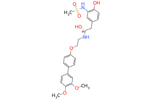 COc1ccc(-c2ccc(OCCN[C@H](O)Cc3ccc(O)c(NS(C)(=O)=O)c3)cc2)cc1OC